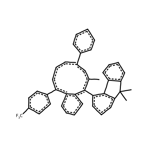 Cc1cc(-c2ccccc2)cccc(-c2ccc(C(F)(F)F)cc2)c2ccccc2c1-c1cccc2c1-c1ccccc1C2(C)C